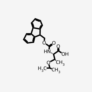 CC(C)O[C@@H](C)[C@H](NC(=O)OCC1c2ccccc2-c2ccccc21)C(=O)O